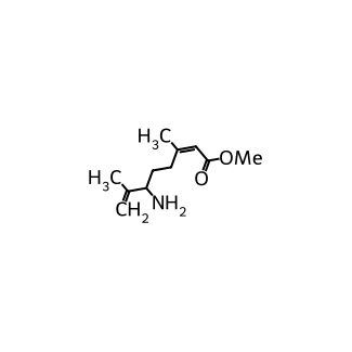 C=C(C)C(N)CCC(C)=CC(=O)OC